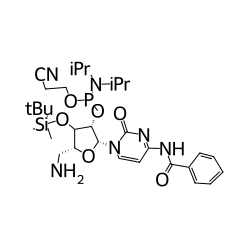 CC(C)N(C(C)C)P(OCCC#N)O[C@H]1C(O[Si](C)(C)C(C)(C)C)[C@@H](CN)O[C@H]1n1ccc(NC(=O)c2ccccc2)nc1=O